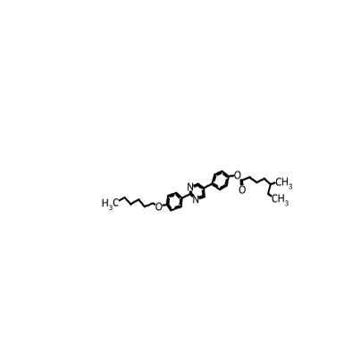 CCCCCCOc1ccc(-c2ncc(-c3ccc(OC(=O)CCCC(C)CC)cc3)cn2)cc1